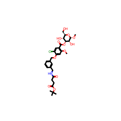 COc1cc(OCc2cccc(CNC(=O)CCC(=O)OC(C)(C)C)c2)c(Cl)cc1C(=O)O[C@@H]1[C@@H](O)[C@@H](OC)O[C@H](CO)[C@H]1O